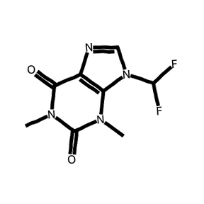 Cn1c(=O)c2ncn(C(F)F)c2n(C)c1=O